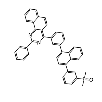 CP(C)(=O)c1cccc(-c2ccc(-c3cccc(-c4nc(-c5ccccc5)nc5c4ccc4ccccc45)c3)c3ccccc23)c1